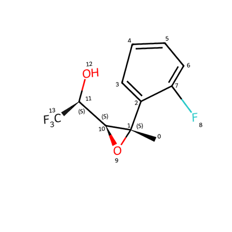 C[C@@]1(c2ccccc2F)O[C@H]1[C@H](O)C(F)(F)F